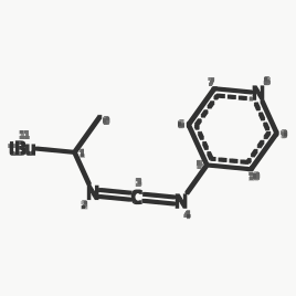 CC(N=C=Nc1ccncc1)C(C)(C)C